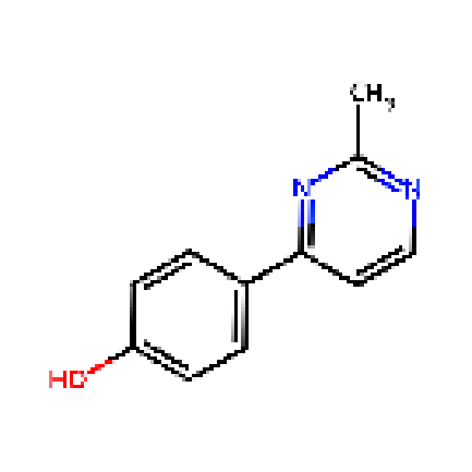 Cc1nccc(-c2ccc(O)cc2)n1